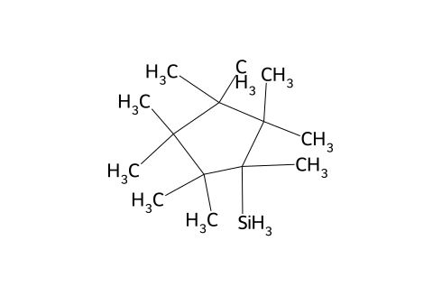 CC1(C)C(C)(C)C(C)(C)C(C)([SiH3])C1(C)C